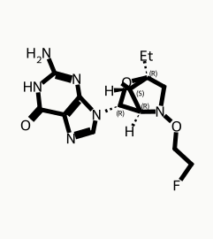 CC[C@@]12CN(OCCF)[C@@H]([C@H](n3cnc4c(=O)[nH]c(N)nc43)O1)[C@@H]2C